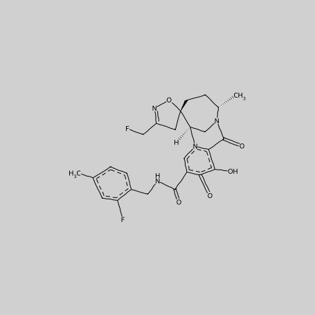 Cc1ccc(CNC(=O)c2cn3c(c(O)c2=O)C(=O)N2C[C@@H]3[C@]3(CC[C@@H]2C)CC(CF)=NO3)c(F)c1